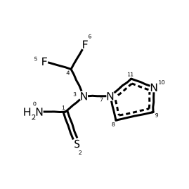 NC(=S)N(C(F)F)n1ccnc1